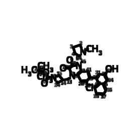 CN1CCC[C@H]1Cn1c(=O)c(=O)n(CC2CN(C(=O)OC(C)(C)C)C2)c2cc(Cl)c(-c3cc(O)cc4ccccc34)cc21